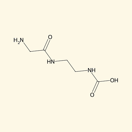 NCC(=O)NCCNC(=O)O